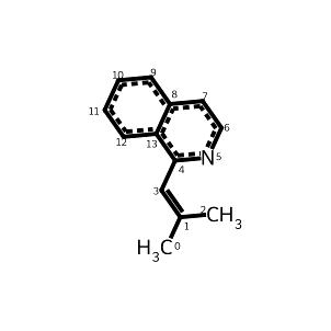 CC(C)=Cc1nccc2ccccc12